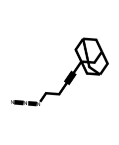 [N-]=[N+]=NCCC#CC12CC3CC(CC(C3)C1)C2